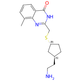 Cc1cccc2c(=O)[nH]c(CS[C@@H]3CC[C@@H](CCN)C3)nc12